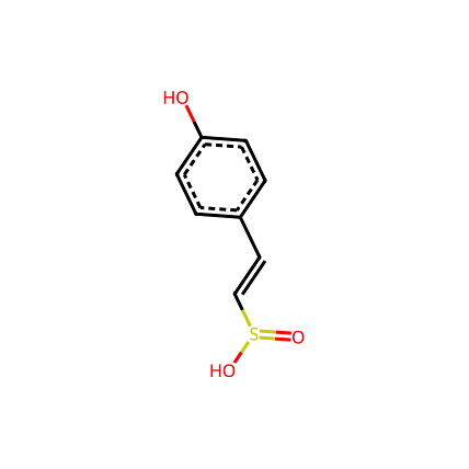 O=S(O)C=Cc1ccc(O)cc1